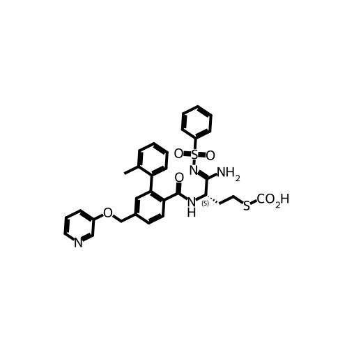 Cc1ccccc1-c1cc(COc2cccnc2)ccc1C(=O)N[C@@H](CCSC(=O)O)C(N)=NS(=O)(=O)c1ccccc1